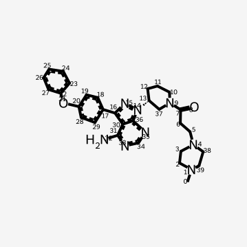 CN1CCN(CCC(=O)N2CCC[C@@H](n3nc(-c4ccc(Oc5ccccc5)cc4)c4c(N)ncnc43)C2)CC1